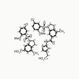 COc1ccc(Cl)cc1S(=O)(=O)N1CCc2c(C)cc(C(=O)Nc3nc(CC(=O)O)cs3)cc21.COc1ccc(Cl)cc1S(=O)(=O)N1CCc2c(C)cc(C(=O)O)cc21